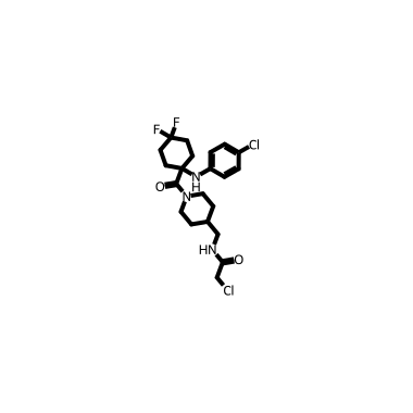 O=C(CCl)NCC1CCN(C(=O)C2(Nc3ccc(Cl)cc3)CCC(F)(F)CC2)CC1